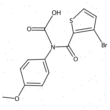 COc1ccc(N(C(=O)O)C(=O)c2sccc2Br)cc1